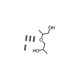 C=C.C=C.C=C.C=C.CC(O)COC(C)CO